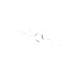 CC(C)(C(=O)O)c1ccc(S(N)(=O)=O)cc1F